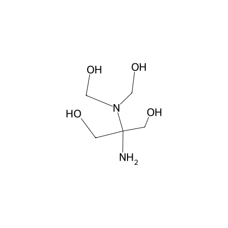 NC(CO)(CO)N(CO)CO